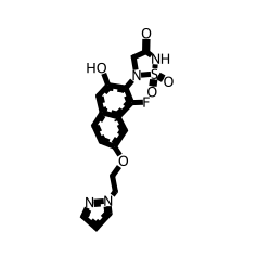 O=C1CN(c2c(O)cc3ccc(OCCn4cccn4)cc3c2F)S(=O)(=O)N1